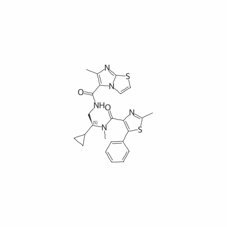 Cc1nc(C(=O)N(C)[C@H](CNC(=O)c2c(C)nc3sccn23)C2CC2)c(-c2ccccc2)s1